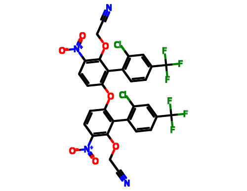 N#CCOc1c([N+](=O)[O-])ccc(Oc2ccc([N+](=O)[O-])c(OCC#N)c2-c2ccc(C(F)(F)F)cc2Cl)c1-c1ccc(C(F)(F)F)cc1Cl